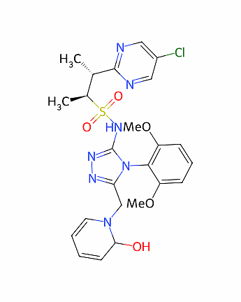 COc1cccc(OC)c1-n1c(CN2C=CC=CC2O)nnc1NS(=O)(=O)[C@@H](C)[C@H](C)c1ncc(Cl)cn1